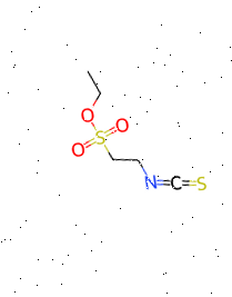 CCOS(=O)(=O)CCN=C=S